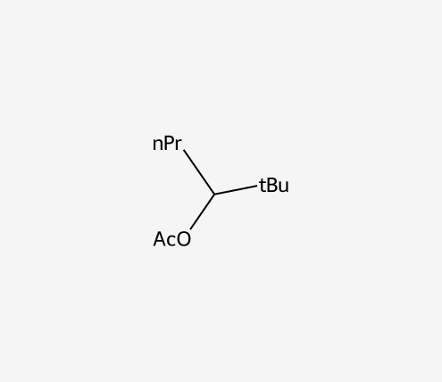 CCCC(OC(C)=O)C(C)(C)C